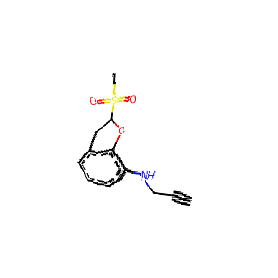 C#CCNc1cccc2c1OC(S(C)(=O)=O)C2